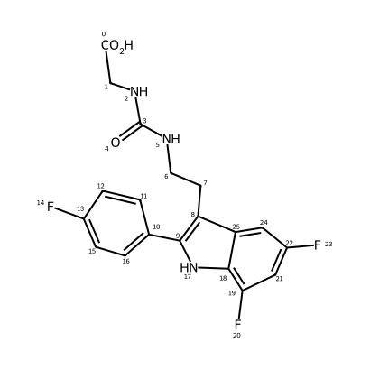 O=C(O)CNC(=O)NCCc1c(-c2ccc(F)cc2)[nH]c2c(F)cc(F)cc12